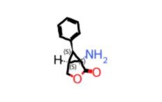 N[C@]12C(=O)OC[C@H]1[C@H]2c1ccccc1